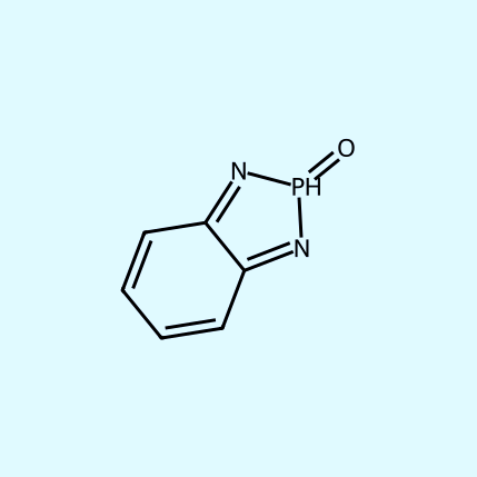 O=[PH]1N=c2ccccc2=N1